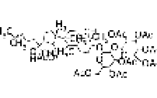 CC(=O)OC[C@H]1O[C@@H](OC2CC[C@]3(C)C(CC[C@@]4(C)C3C[C@H](OC(C)=O)C3C([C@@](C)(O)CCC=C(C)C)CC[C@@]34C)C2(C)C)[C@H](OC2O[C@H](COC(C)=O)[C@@H](OC(C)=O)[C@H](OC(C)=O)[C@H]2OC(C)=O)[C@@H](OC(C)=O)[C@@H]1OC(C)=O